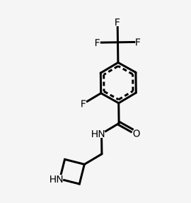 O=C(NCC1CNC1)c1ccc(C(F)(F)F)cc1F